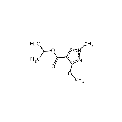 COc1nn(C)cc1C(=O)OC(C)C